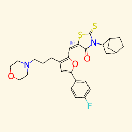 O=C1/C(=C\c2oc(-c3ccc(F)cc3)cc2CCCN2CCOCC2)SC(=S)N1C1CC2CCC1C2